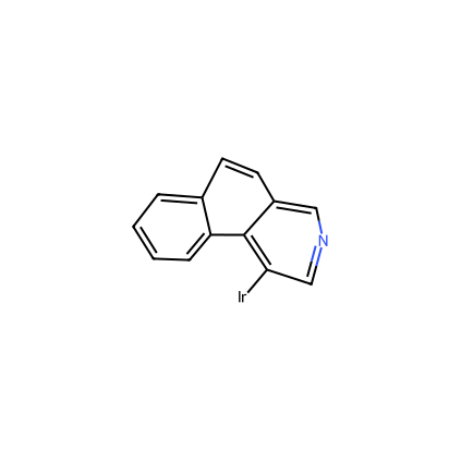 [Ir][c]1cncc2ccc3ccccc3c12